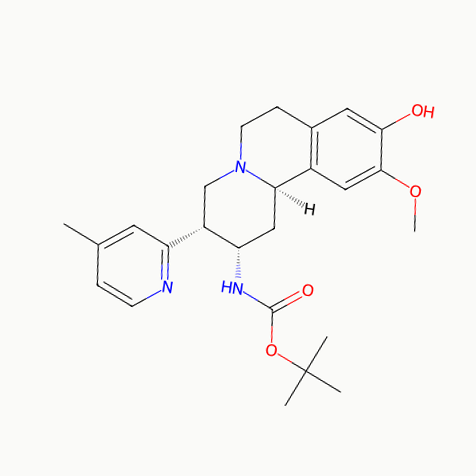 COc1cc2c(cc1O)CCN1C[C@@H](c3cc(C)ccn3)[C@@H](NC(=O)OC(C)(C)C)C[C@H]21